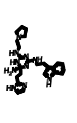 NC1(CCc2ncc[nH]2)N=C(NCCc2c[nH]c3ccccc23)N=C(NCCN2CCCC2)N1